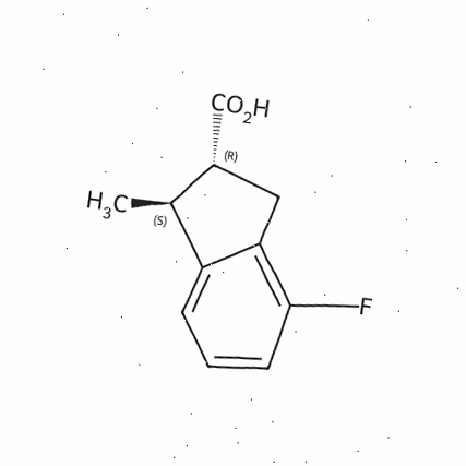 C[C@@H]1c2cccc(F)c2C[C@H]1C(=O)O